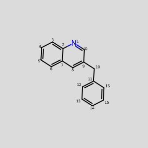 [c]1nc2ccccc2cc1Cc1ccccc1